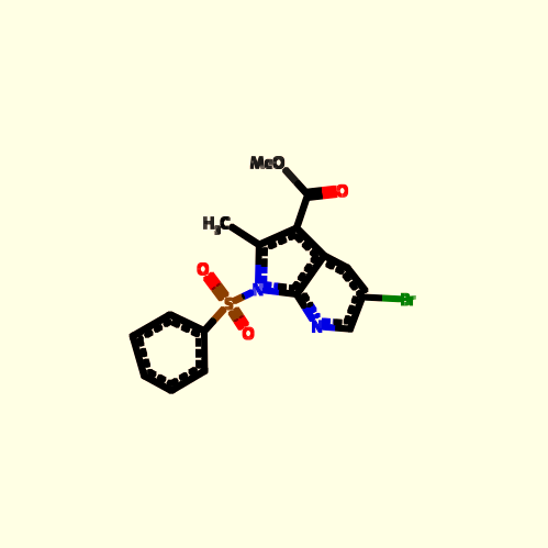 COC(=O)c1c(C)n(S(=O)(=O)c2ccccc2)c2ncc(Br)cc12